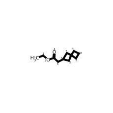 CCOC(=O)CC1CC2(CCC2)C1